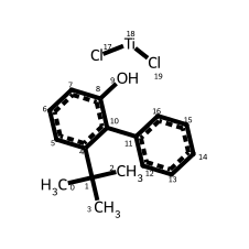 CC(C)(C)c1cccc(O)c1-c1ccccc1.[Cl][Ti][Cl]